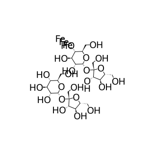 OC[C@H]1O[C@@](CO)(O[C@H]2O[C@H](CO)[C@@H](O)[C@H](O)[C@H]2O)[C@@H](O)[C@@H]1O.OC[C@H]1O[C@@](CO)(O[C@H]2O[C@H](CO)[C@@H](O)[C@H](O)[C@H]2O)[C@@H](O)[C@@H]1O.[Fe].[Fe].[Fe]